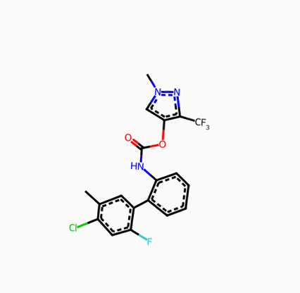 Cc1cc(-c2ccccc2NC(=O)Oc2cn(C)nc2C(F)(F)F)c(F)cc1Cl